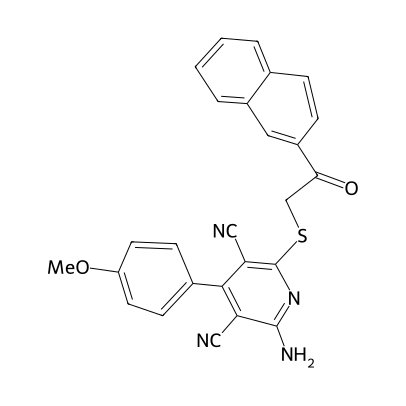 COc1ccc(-c2c(C#N)c(N)nc(SCC(=O)c3ccc4ccccc4c3)c2C#N)cc1